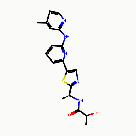 Cc1ccnc(Nc2cccc(-c3cnc([C@H](C)NC(=O)[C@H](C)O)s3)n2)c1